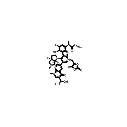 Cc1oc(=O)oc1Cn1cc(-c2cnc3c(c2)c(=O)c(C(O)O)cn3C)c(N2CC[C@H]3CN(C)C[C@H]32)c2c3c(C#N)c(F)cc(N(C)C(=O)OC(C)(C)C)c3nc1-2